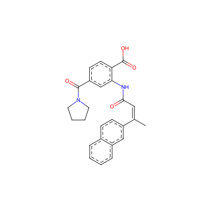 C/C(=C/C(=O)Nc1cc(C(=O)N2CCCC2)ccc1C(=O)O)c1ccc2ccccc2c1